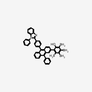 Bc1c(B)c(B)c(-c2ccc3c(-c4ccc(-c5nc6ccccc6n5-c5ccccc5)cc4)c4ccccc4c(-c4ccccc4)c3c2)c(O)c1B